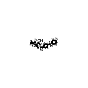 C[C@@H]1CN(C(=O)c2ccc(-c3nc4ccc(F)cc4o3)cc2)CCN1C(=O)C1(O)CC1